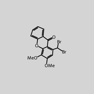 COc1cc(C(Br)Br)c2c(=O)c3ccccc3oc2c1OC